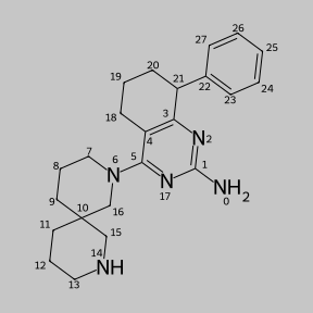 Nc1nc2c(c(N3CCCC4(CCCNC4)C3)n1)CCCC2c1ccccc1